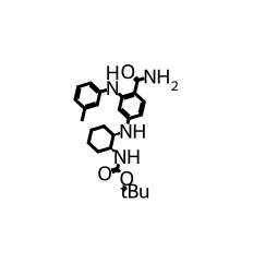 Cc1cccc(Nc2cc(N[C@@H]3CCCC[C@@H]3NC(=O)OC(C)(C)C)ccc2C(N)=O)c1